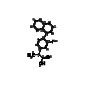 CC(C(=O)O)c1ccc(-c2cccc3ccccc23)c(F)c1